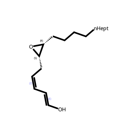 CCCCCCCCCCC[C@H]1O[C@H]1C/C=C\C=C\O